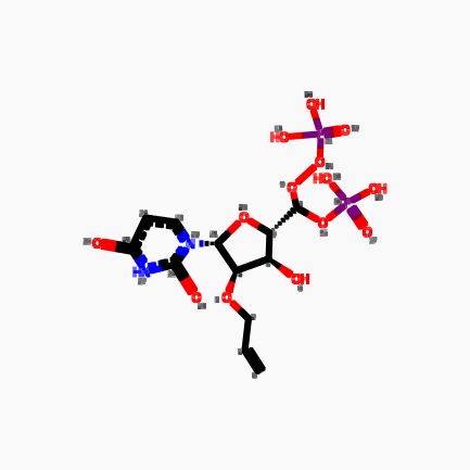 C=CCO[C@@H]1[C@H](O)[C@@H](C(OOP(=O)(O)O)OP(=O)(O)O)O[C@H]1n1ccc(=O)[nH]c1=O